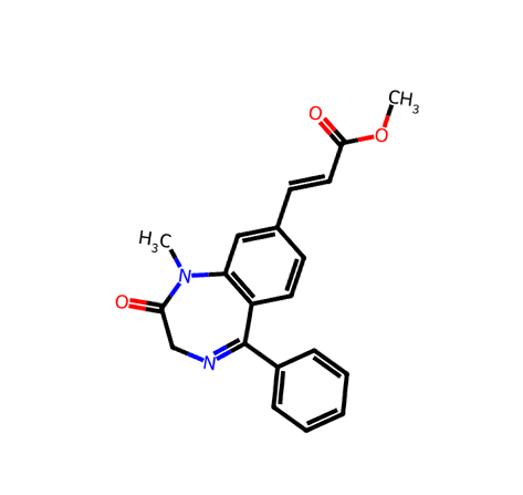 COC(=O)C=Cc1ccc2c(c1)N(C)C(=O)CN=C2c1ccccc1